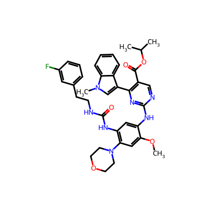 COc1cc(N2CCOCC2)c(NC(=O)NCCc2cccc(F)c2)cc1Nc1ncc(C(=O)OC(C)C)c(-c2cn(C)c3ccccc23)n1